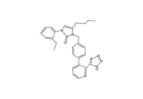 CCCCc1cn(-c2ccccc2CC)c(=O)n1Cc1ccc(-c2cccnc2-c2nnn[nH]2)cc1